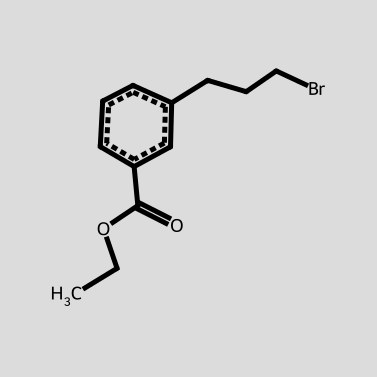 CCOC(=O)c1cccc(CCCBr)c1